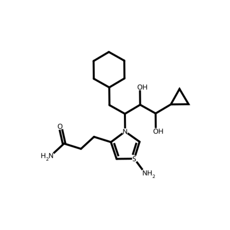 NC(=O)CCC1=CS(N)=CN1C(CC1CCCCC1)C(O)C(O)C1CC1